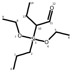 CCC[Si](OCC)(OCC)C(C=O)CC